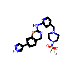 CS(=O)(=O)N1CCN(Cc2ccnc(NC3=NCc4ccc(-c5cn[nH]c5)cc4S3)c2)CC1